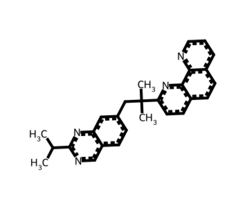 CC(C)c1ncc2ccc(CC(C)(C)c3ccc4ccc5cccnc5c4n3)cc2n1